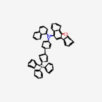 c1ccc([Si](c2ccccc2)(c2ccccc2)c2ccc(-c3ccc(N(c4cccc5ccccc45)c4cc5c6ccccc6oc5c5ccccc45)cc3)cc2)cc1